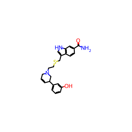 NC(=O)c1ccc2c(CSCCN3CC=CC(c4cccc(O)c4)C3)c[nH]c2c1